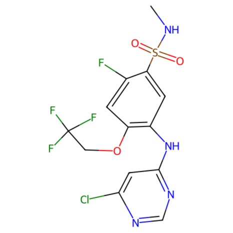 CNS(=O)(=O)c1cc(Nc2cc(Cl)ncn2)c(OCC(F)(F)F)cc1F